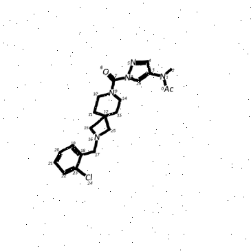 CC(=O)N(C)c1cnn(C(=O)N2CCC3(CC2)CN(Cc2ccccc2Cl)C3)c1